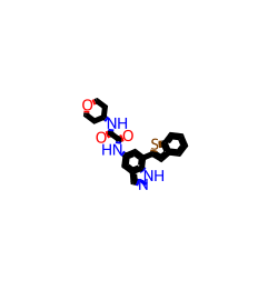 O=C(Nc1cc(-c2cc3ccccc3s2)c2[nH]ncc2c1)C(=O)NC1CCOCC1